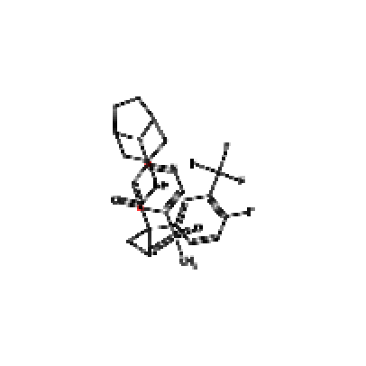 CS(=O)(=O)c1ccc(N2C3CCC2CC(NC(=O)C2(c4ccc(F)c(C(F)(F)F)c4)CC2)C3)nc1